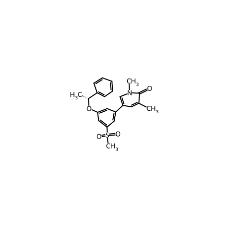 Cc1cc(-c2cc(O[C@H](C)c3ccccc3)cc(S(C)(=O)=O)c2)cn(C)c1=O